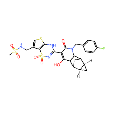 CS(=O)(=O)NCc1csc2c1S(=O)(=O)N=C(C1=C(O)C3C4CC(C3N(Cc3ccc(F)cc3)C1=O)[C@H]1C[C@@H]41)N2